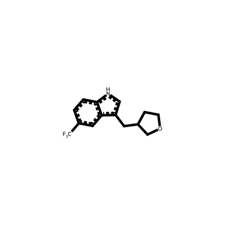 FC(F)(F)c1ccc2[nH]cc(CC3CCOC3)c2c1